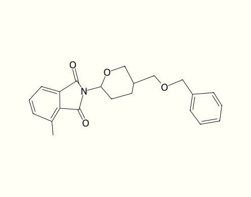 Cc1cccc2c1C(=O)N(C1CCC(COCc3ccccc3)CO1)C2=O